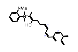 C=CC(=C)/C=C\C(=C)/C=C\C=C/CCC(O)=C(C)[N+](C)(C)c1ccccc1NC